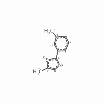 Cc1cccc(-c2ncc(C)s2)c1